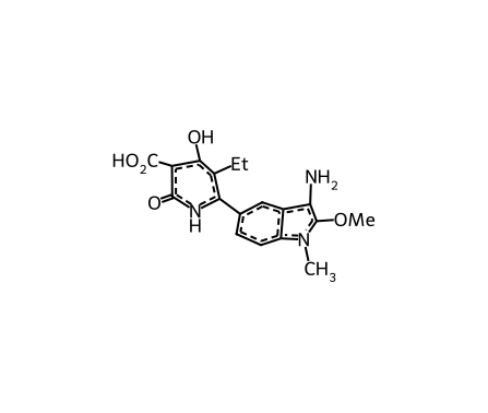 CCc1c(-c2ccc3c(c2)c(N)c(OC)n3C)[nH]c(=O)c(C(=O)O)c1O